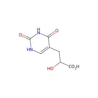 O=C(O)C(O)Cc1c[nH]c(=O)[nH]c1=O